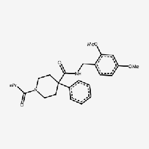 CCCC(=O)N1CCC(C(=O)NCc2ccc(OC)cc2OC)(c2ccccc2)CC1